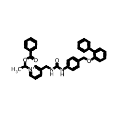 CC(OC(=O)c1ccccc1)[n+]1cccc(CNC(=O)Nc2ccc(COc3ccccc3-c3ccccc3)cc2)c1